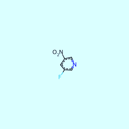 O=[N+]([O-])c1cncc(F)c1